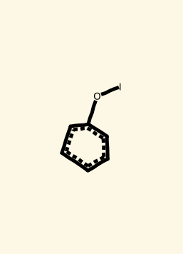 IOc1ccccc1